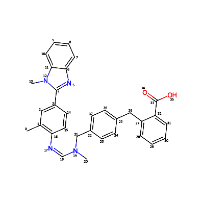 Cc1cc(-c2nc3ccccc3n2C)ccc1/N=C\N(C)Cc1ccc(Cc2ccccc2C(=O)O)cc1